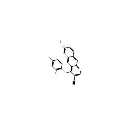 COc1ccc2cc3ncc(C#N)c(Nc4ccc(Cl)cc4Cl)c3cc2c1